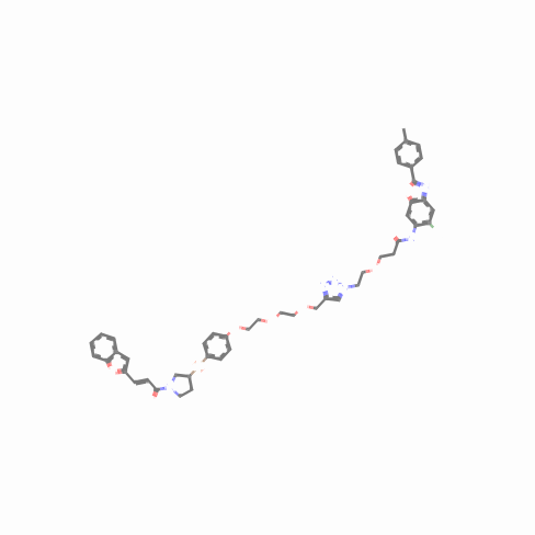 Cc1ccc(-c2nc3cc(Cl)c(NC(=O)CCOCCn4cc(COCCOCCOc5ccc(S(=O)(=O)C6CCN(C(=O)/C=C/c7cc8ccccc8o7)C6)cc5)nn4)cc3o2)cc1